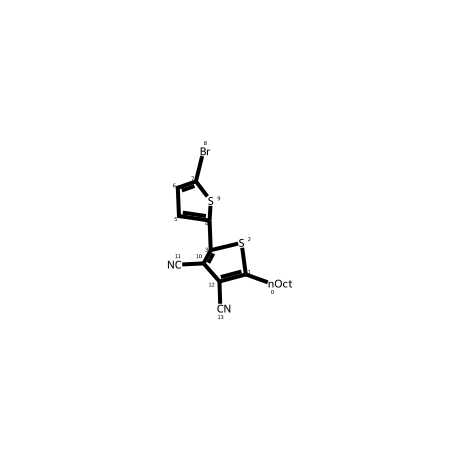 CCCCCCCCc1sc(-c2ccc(Br)s2)c(C#N)c1C#N